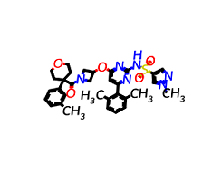 Cc1cccc(C2(C(=O)N3CC(Oc4cc(-c5c(C)cccc5C)nc(NS(=O)(=O)c5cnn(C)c5)n4)C3)CCOCC2)c1